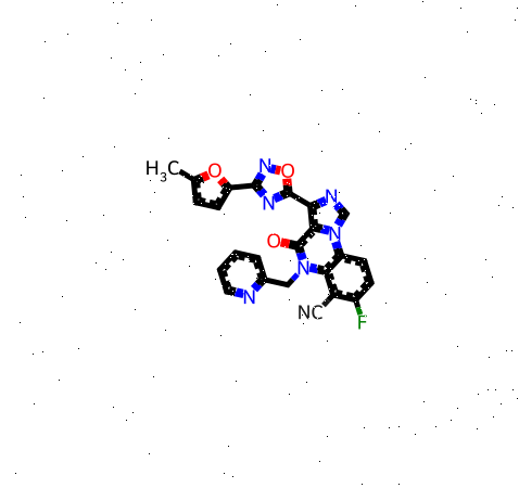 Cc1ccc(-c2noc(-c3ncn4c3c(=O)n(Cc3ccccn3)c3c(C#N)c(F)ccc34)n2)o1